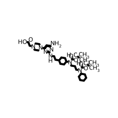 CC(C)(C)OC(=O)N(CCCN(C(=O)OC(C)(C)C)C1CCC(CCNc2nc(N)cc(N3CCN(CC(=O)O)CC3)n2)CC1)C1CCCCC1